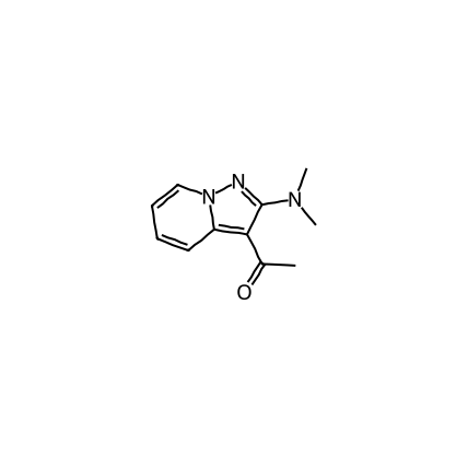 CC(=O)c1c(N(C)C)nn2ccccc12